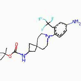 CC(C)(C)OC(=O)NC1CC2(CCN(c3ccc(N)cc3C(F)(F)F)CC2)C1